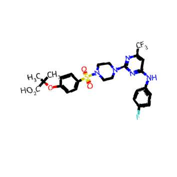 CC(C)(Oc1ccc(S(=O)(=O)N2CCN(c3nc(Nc4ccc(F)cc4)cc(C(F)(F)F)n3)CC2)cc1)C(=O)O